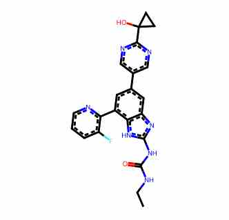 CCNC(=O)Nc1nc2cc(-c3cnc(C4(O)CC4)nc3)cc(-c3ncccc3F)c2[nH]1